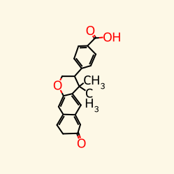 CC1(C)c2cc3c(cc2OCC1c1ccc(C(=O)O)cc1)=CCC(=O)C=3